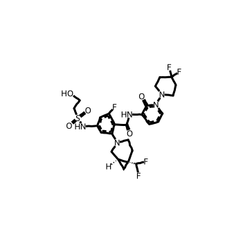 O=C(Nc1cccn(N2CCC(F)(F)CC2)c1=O)c1c(F)cc(NS(=O)(=O)CCO)cc1N1CC[C@@]2(C(F)F)C[C@H]2C1